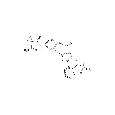 CN(c1ccccc1-c1ccc2c(c1)Nc1cc(NC(=O)C3(C(N)=O)CC3)ccc1NC2=O)S(C)(=O)=O